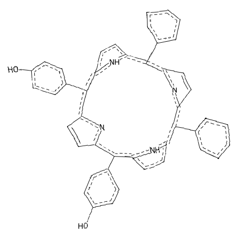 Oc1ccc(-c2c3nc(c(-c4ccc(O)cc4)c4ccc([nH]4)c(-c4ccccc4)c4nc(c(-c5ccccc5)c5ccc2[nH]5)C=C4)C=C3)cc1